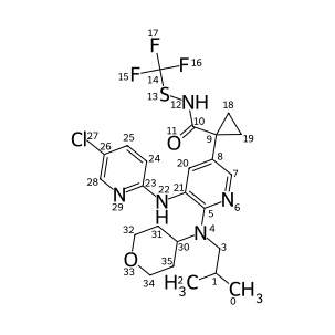 CC(C)CN(c1ncc(C2(C(=O)NSC(F)(F)F)CC2)cc1Nc1ccc(Cl)cn1)C1CCOCC1